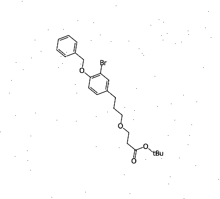 CC(C)(C)OC(=O)CCOCCCc1ccc(OCc2ccccc2)c(Br)c1